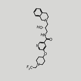 O=C(NC[C@H](O)CN1CCc2ccccc2C1)c1cncc(OC2CCN(CC(F)(F)F)CC2)c1